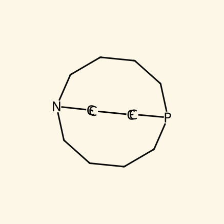 C1CCP2CCCCN(C1)CCCC2